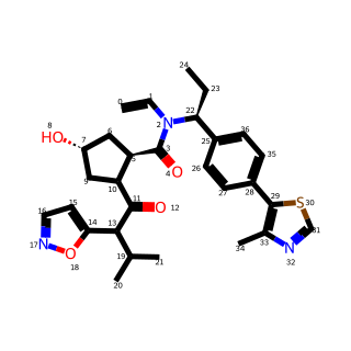 C=CN(C(=O)[C@@H]1C[C@@H](O)CC1C(=O)C(c1ccno1)C(C)C)[C@@H](CC)c1ccc(-c2scnc2C)cc1